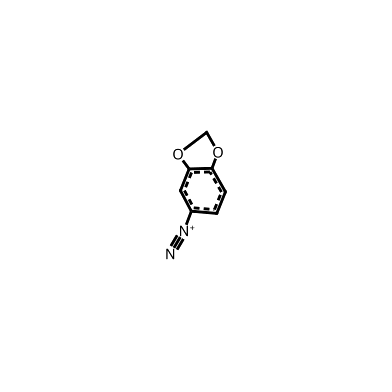 N#[N+]c1ccc2c(c1)OCO2